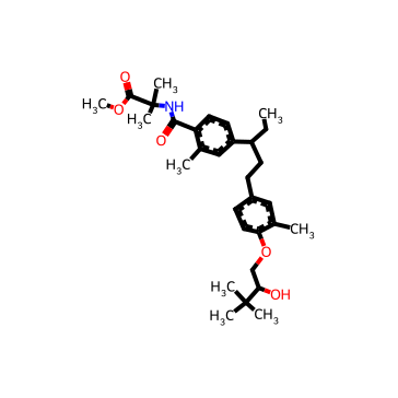 CCC(CCc1ccc(OCC(O)C(C)(C)C)c(C)c1)c1ccc(C(=O)NC(C)(C)C(=O)OC)c(C)c1